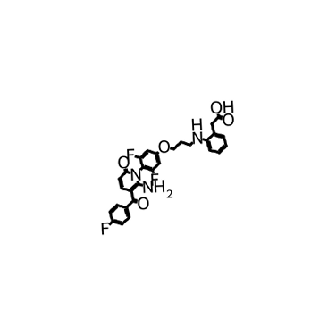 Nc1c(C(=O)c2ccc(F)cc2)ccc(=O)n1-c1c(F)cc(OCCCNc2ccccc2CC(=O)O)cc1F